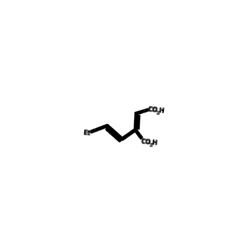 CCC=CC(=CC(=O)O)C(=O)O